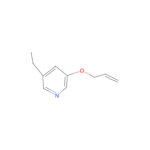 C=CCOc1cncc(CC)c1